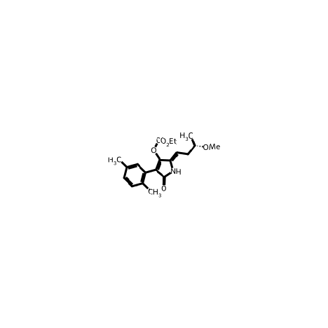 CCOC(=O)OC1=C(c2cc(C)ccc2C)C(=O)N/C1=C\C[C@H](C)OC